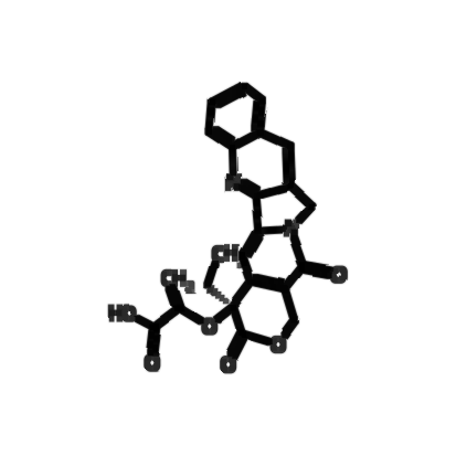 C=C(O[C@]1(CC)C(=O)OCc2c1cc1n(c2=O)Cc2cc3ccccc3nc2-1)C(=O)O